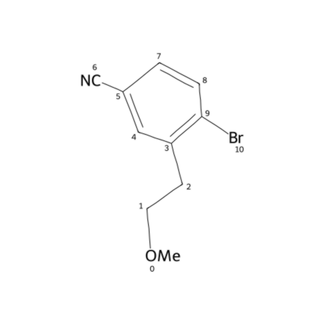 COCCc1cc(C#N)ccc1Br